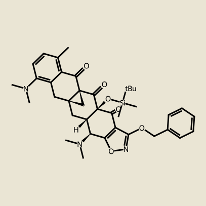 Cc1ccc(N(C)C)c2c1C(=O)[C@@]13C[C@]1(C2)C[C@H]1[C@H](N(C)C)c2onc(OCc4ccccc4)c2C(=O)[C@@]1(O[Si](C)(C)C(C)(C)C)C3=O